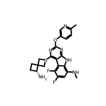 CNc1cc(F)c(F)c2c1[nH]c1nc(Oc3ccc(C)nc3)nc(N3CC4(CC[C@H]4N)C3)c12